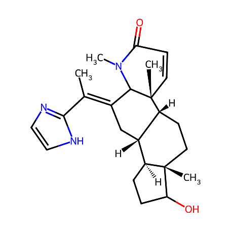 CC(=C1C[C@@H]2[C@@H](CC[C@]3(C)C(O)CC[C@@H]23)[C@@]2(C)C=CC(=O)N(C)C12)c1ncc[nH]1